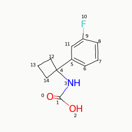 O=C(O)NC1(c2cccc(F)c2)CCC1